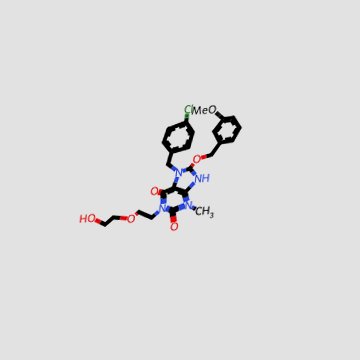 COc1cccc(COC2Nc3c(c(=O)n(CCOCCO)c(=O)n3C)N2Cc2ccc(Cl)cc2)c1